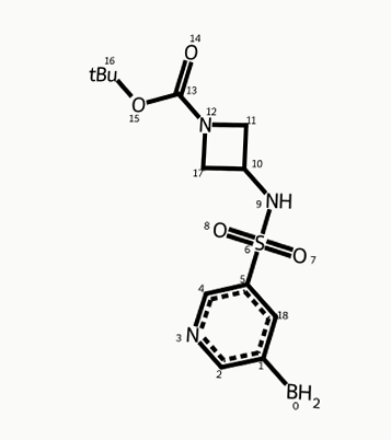 Bc1cncc(S(=O)(=O)NC2CN(C(=O)OC(C)(C)C)C2)c1